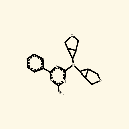 Nc1nc(-c2ccccc2)nc(N(C2C3COCC32)C2C3COCC32)n1